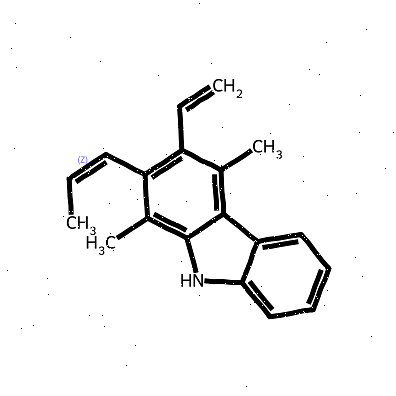 C=Cc1c(/C=C\C)c(C)c2[nH]c3ccccc3c2c1C